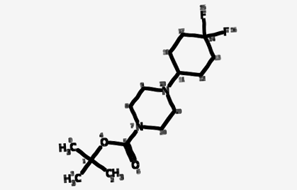 CC(C)(C)OC(=O)N1CCN(C2CCC(F)(F)CC2)CC1